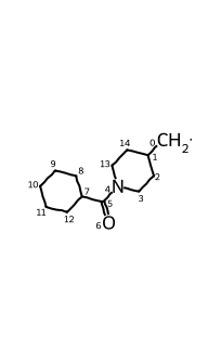 [CH2]C1CCN(C(=O)C2CCCCC2)CC1